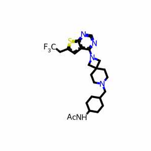 CC(=O)NC1CCC(CN2CCC3(CC2)CN(c2ncnc4sc(CC(F)(F)F)cc24)C3)CC1